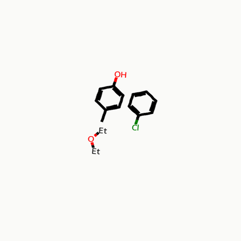 CCOCC.Cc1ccc(O)cc1.Clc1ccccc1